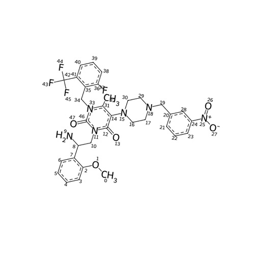 COc1ccccc1C(N)Cn1c(=O)c(N2CCN(Cc3cccc([N+](=O)[O-])c3)CC2)c(C)n(Cc2c(F)cccc2C(F)(F)F)c1=O